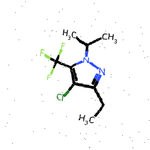 CCc1nn(C(C)C)c(C(F)(F)F)c1Cl